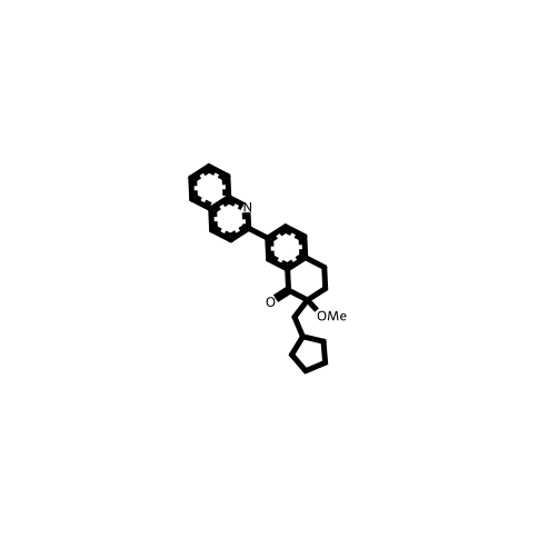 COC1(CC2CCCC2)CCc2ccc(-c3ccc4ccccc4n3)cc2C1=O